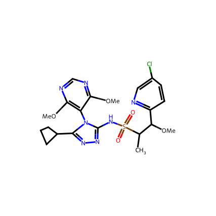 COc1ncnc(OC)c1-n1c(NS(=O)(=O)C(C)C(OC)c2ccc(Cl)cn2)nnc1C1CCC1